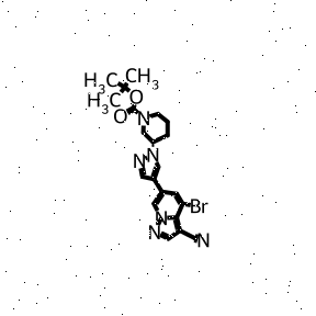 CC(C)(C)OC(=O)N1CCC[C@H](n2cc(-c3cc(Br)c4c(C#N)cnn4c3)cn2)C1